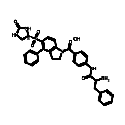 Cl.NC(Cc1ccccc1)C(=O)Nc1ccc(C(=O)N2CCc3c2ccc(S(=O)(=O)[C@H]2CNC(=O)N2)c3-c2ccccc2)cc1